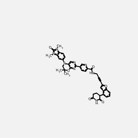 Cn1c(=O)n(C)c2cc(N3CC(C)(C)Oc4nc(-c5ccc(C(=O)NCC#Cc6cc7c(C8CCC(=O)NC8=O)cccc7o6)nc5)ncc43)ccc21